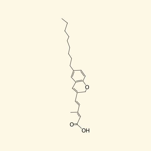 CCCCCCCCCc1ccc2c(c1)C=C(/C=C/C(C)=C/C(=O)O)CO2